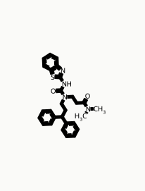 CN(C)C(=O)CCN(CCC(c1ccccc1)c1ccccc1)C(=O)Nc1nc2ccccc2s1